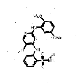 CCNS(=O)(=O)c1ccccc1Nc1nc(Nc2cc(OC)ccc2OC)ncc1Cl